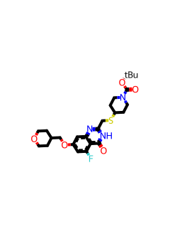 CC(C)(C)OC(=O)N1CCC(SCc2nc3cc(OCC4CCOCC4)cc(F)c3c(=O)[nH]2)CC1